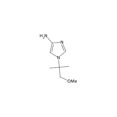 COCC(C)(C)n1cnc(N)c1